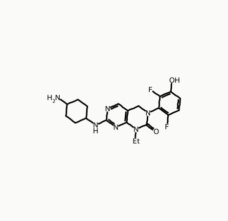 CCN1C(=O)N(c2c(F)ccc(O)c2F)Cc2cnc(NC3CCC(N)CC3)nc21